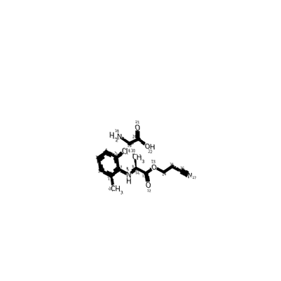 Cc1cccc(Cl)c1N[C@@H](C)C(=O)OCCC#N.NCC(=O)O